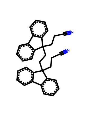 N#CCCC1(CCC2(CCC#N)c3ccccc3-c3ccccc32)c2ccccc2-c2ccccc21